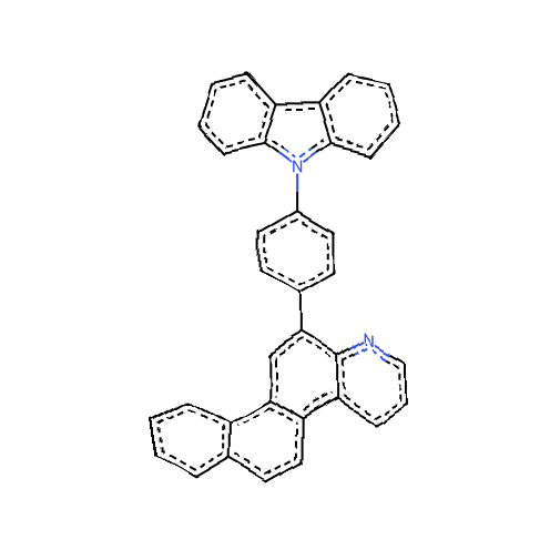 c1ccc2c(c1)ccc1c3cccnc3c(-c3ccc(-n4c5ccccc5c5ccccc54)cc3)cc21